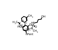 C=C(C)[C@@H]1CCC(C)=C[C@H]1c1c(O)cc(CCCCC)cc1OP(=O)(NCCCO)N(C)C